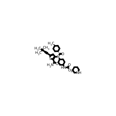 CC(C)(C)C#Cc1cc(N(C(=O)[C@H]2CC[C@H](C)CC2)C2CCC(NC(=O)O[C@@H]3CCCNC3)CC2)c(C(N)=O)s1